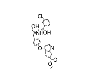 CCOC(=O)c1ccc2c(Oc3ccc(C[C@@H](CO)NC[C@@H](O)c4cccc(Cl)c4)cc3)ccnc2c1